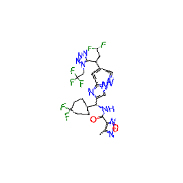 Cc1nonc1C(=O)N[C@H](c1cn2ncc([C@H](CC(F)F)c3nnnn3CC(F)(F)F)cc2n1)C1CCC(F)(F)CC1